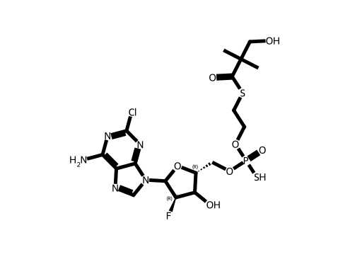 CC(C)(CO)C(=O)SCCOP(=O)(S)OC[C@H]1OC(n2cnc3c(N)nc(Cl)nc32)[C@H](F)C1O